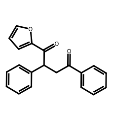 O=C(CC(C(=O)c1ccco1)c1ccccc1)c1ccccc1